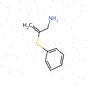 C=C(CN)Sc1ccccc1